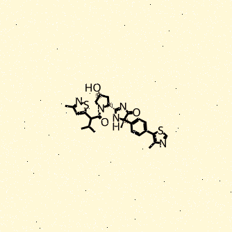 Cc1cc(C(C(=O)N2C[C@H](O)C[C@@H]2C2=NC(=O)[C@](C)(c3ccc(-c4scnc4C)cc3)N2)C(C)C)sn1